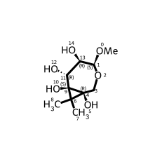 CO[C@H]1OC[C@]2(O)C(C)(C)[C@]2(O)[C@H](O)[C@H]1O